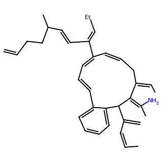 C=CCCC(C)/C=C/C(=C\CC)C1=C/C=C/c2ccccc2C(C(=C)/C=C\C)C(=C(\C)N)/C(=C\C)C/C=C\1